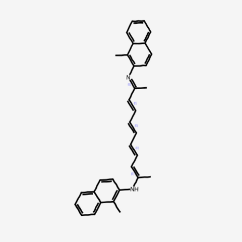 C\C(=C/C=C/C=C/C=C/C(C)=N/c1ccc2ccccc2c1C)Nc1ccc2ccccc2c1C